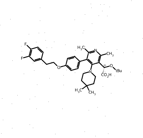 Cc1nc(C)c([C@H](OC(C)(C)C)C(=O)O)c(N2CCC(C)(C)CC2)c1-c1ccc(OCCc2ccc(F)c(F)c2)cc1